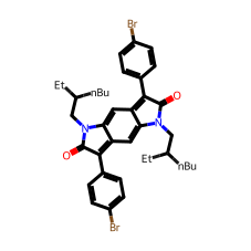 CCCCC(CC)CN1C(=O)C(c2ccc(Br)cc2)=c2cc3c(cc21)=C(c1ccc(Br)cc1)C(=O)N3CC(CC)CCCC